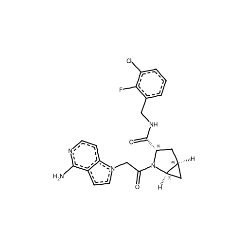 Nc1nccc2c1ccn2CC(=O)N1[C@@H]2C[C@@H]2C[C@H]1C(=O)NCc1cccc(Cl)c1F